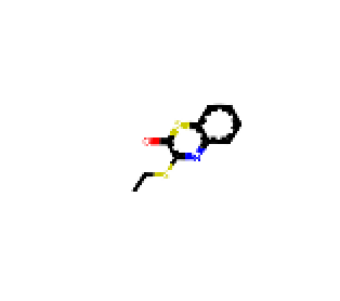 CCSc1nc2ccccc2sc1=O